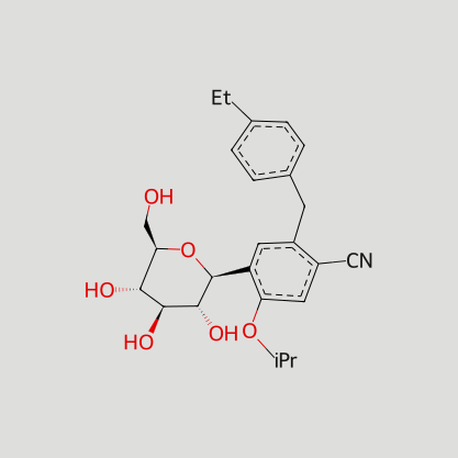 CCc1ccc(Cc2cc([C@@H]3O[C@H](CO)[C@@H](O)[C@H](O)[C@H]3O)c(OC(C)C)cc2C#N)cc1